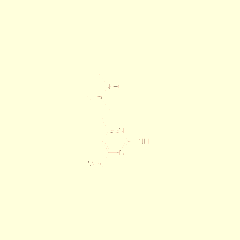 COc1cc(CSC(=S)N(C)C)nc(N)n1